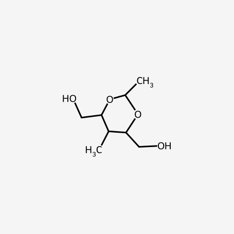 CC1OC(CO)C(C)C(CO)O1